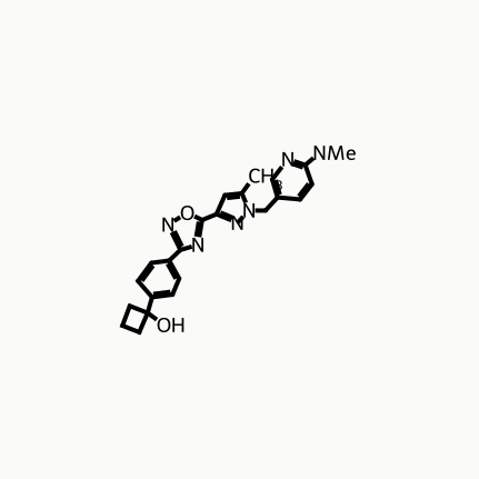 CNc1ccc(Cn2nc(-c3nc(-c4ccc(C5(O)CCC5)cc4)no3)cc2C)cn1